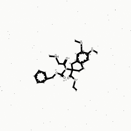 CCOC(=O)C1(N(C(=O)CNC)C(=O)OCc2ccccc2)CCc2cc(OC)c(OC)cc2C1